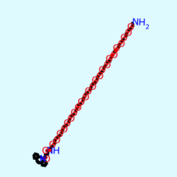 NCCOCCOCCOCCOCCOCCOCCOCCOCCOCCOCCOCCOCCOCCOCCOCCOCCOCCOCCOCCOCCOCCOCCOCCNC(=O)CCC(=O)N1Cc2ccccc2C#Cc2ccccc21